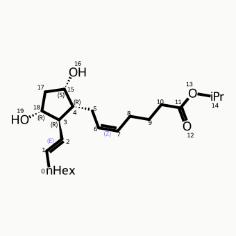 CCCCCC/C=C/[C@@H]1[C@@H](C/C=C\CCCC(=O)OC(C)C)[C@@H](O)C[C@H]1O